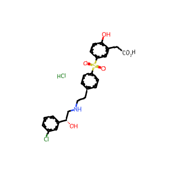 Cl.O=C(O)Cc1cc(S(=O)(=O)c2ccc(CCNC[C@H](O)c3cccc(Cl)c3)cc2)ccc1O